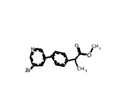 COC(=O)C(C)c1ccc(-c2cncc(Br)c2)cc1